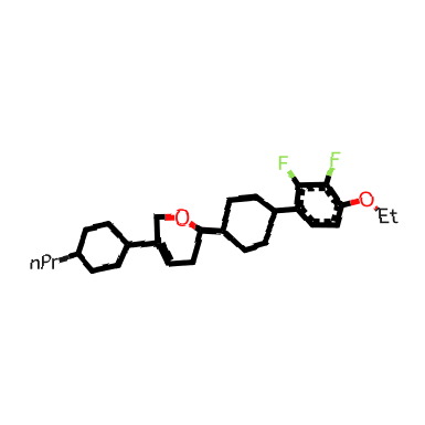 CCCC1CCC(C2=CCC(C3CCC(c4ccc(OCC)c(F)c4F)CC3)OC2)CC1